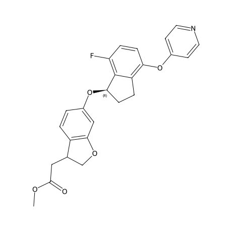 COC(=O)CC1COc2cc(O[C@@H]3CCc4c(Oc5ccncc5)ccc(F)c43)ccc21